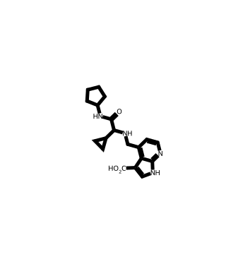 O=C(O)c1c[nH]c2nccc(CNC(C(=O)NC3CCCC3)C3CC3)c12